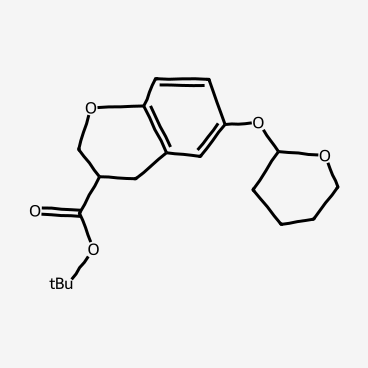 CC(C)(C)OC(=O)C1COc2ccc(OC3CCCCO3)cc2C1